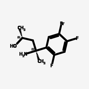 C[C@@H](O)C[C@](C)(N)c1cc(Br)c(F)cc1F